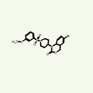 COc1cccc(S(=O)(=O)N2CCC(N3C(=O)OCC4C=C(Br)C=CC43)CC2)c1